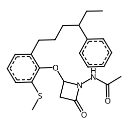 CCC(CCCc1cccc(SC)c1OC1CC(=O)N1NC(C)=O)c1ccccc1